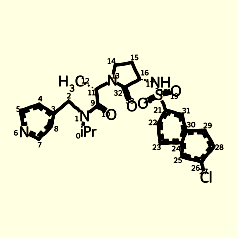 CC(C)N(Cc1ccncc1)C(=O)[C@H](C)N1CC[C@H](NS(=O)(=O)c2ccc3cc(Cl)ccc3c2)C1=O